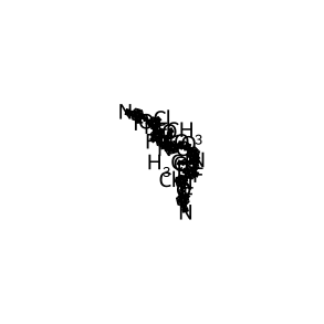 COCCn1c(Cc2cc(F)c(-c3cc(Cl)cc(OCc4ccc(C#N)cc4F)n3)cc2F)nc2ccc(C(=O)OC(=O)c3ccc4nc(Cc5cc(F)c(-c6cc(Cl)cc(OCc7ccc(C#N)cc7F)n6)cc5F)n(CCOC)c4c3)cc21